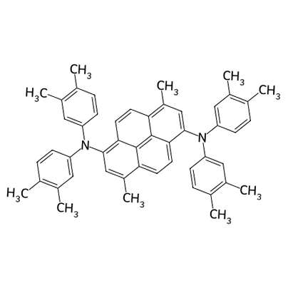 Cc1ccc(N(c2ccc(C)c(C)c2)c2cc(C)c3ccc4c(N(c5ccc(C)c(C)c5)c5ccc(C)c(C)c5)cc(C)c5ccc2c3c54)cc1C